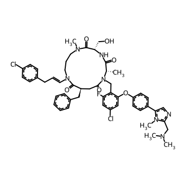 C[C@H]1C(=O)N[C@@H](CO)C(=O)N(C)CCCN(/C=C/Cc2ccc(Cl)cc2)C(=O)[C@H](Cc2ccccc2)CC(=O)N1Cc1c(F)cc(Cl)cc1Oc1ccc(-c2cnc(CN(C)C)n2C)cc1